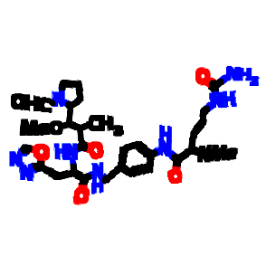 CNC(CCCNC(N)=O)C(=O)Nc1ccc(CNC(=O)C(Cc2nnco2)NC(=O)C(C)C(OC)C2CCCN2C=O)cc1